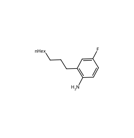 CCCCCCCCCc1cc(F)ccc1N